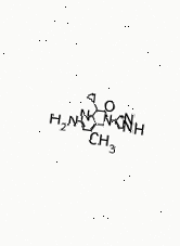 Cc1cc(N)nc2c1CN(c1cn[nH]c1)C(=O)C2C1CC1